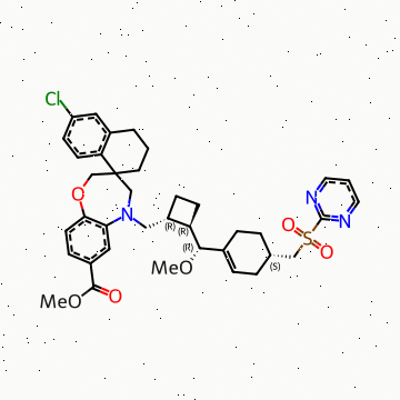 COC(=O)c1ccc2c(c1)N(C[C@@H]1CC[C@H]1[C@@H](OC)C1=CC[C@@H](CS(=O)(=O)c3ncccn3)CC1)CC1(CCCc3cc(Cl)ccc31)CO2